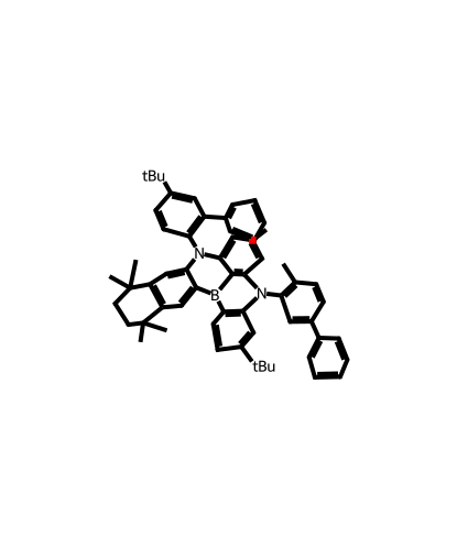 Cc1cc2c3c(c1)N(c1ccc(C(C)(C)C)cc1-c1ccccc1)c1cc4c(cc1B3c1ccc(C(C)(C)C)cc1N2c1cc(-c2ccccc2)ccc1C)C(C)(C)CCC4(C)C